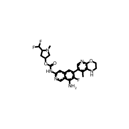 Cc1c(-c2cc3cc(NC(=O)OC4CC(C(F)F)N(C)C4)ncc3c(N)c2F)cnc2c1NCCO2